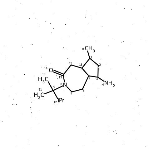 CC1CC(N)C2CCN(C(C)(C)C(C)C)C(=O)CC12